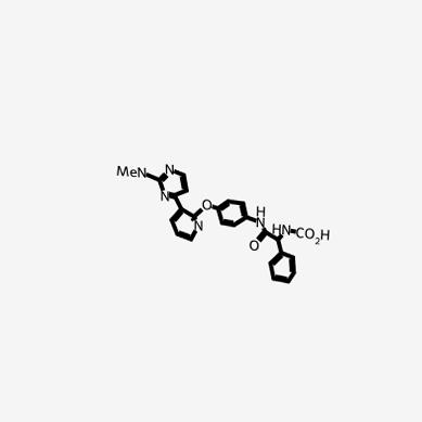 CNc1nccc(-c2cccnc2Oc2ccc(NC(=O)C(NC(=O)O)c3ccccc3)cc2)n1